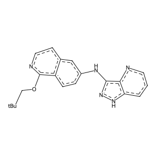 CC(C)(C)COc1nccc2cc(Nc3n[nH]c4cccnc34)ccc12